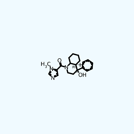 Cn1cncc1C(=O)N1CC[C@@](O)(c2ccccc2)[C@@H]2CCCCC21